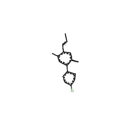 C/C=C/c1cc(C)c(-c2ccc(Cl)cc2)cc1C